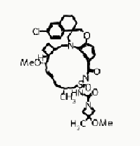 CO[C@H]1/C=C/C[C@H](C)C[S@@](=O)(NC(=O)N2CC(C)(OC)C2)=NC(=O)c2ccc3c(c2)N(CC2CC[C@H]21)C[C@@]1(CCCc2cc(Cl)ccc21)CO3